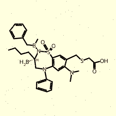 B[C@@]1(CCCC)CN(c2ccccc2)c2cc(N(C)C)c(CSCC(=O)O)cc2S(=O)(=O)N1B(C)Cc1ccccc1